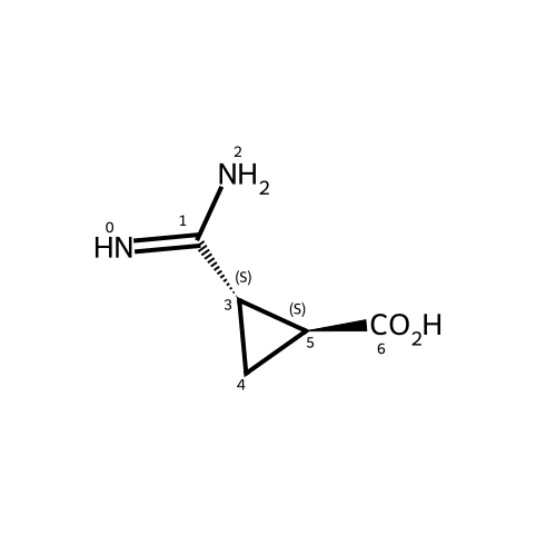 N=C(N)[C@H]1C[C@@H]1C(=O)O